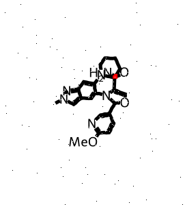 COc1ccc(C2OC=C(C(N)=O)N2c2cc3cn(C)nc3cc2N2CCCCC2)cn1